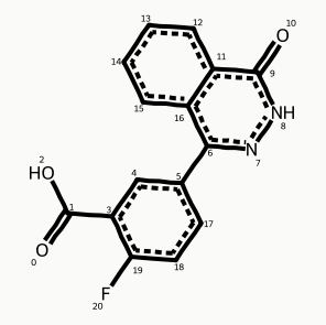 O=C(O)c1cc(-c2n[nH]c(=O)c3ccccc23)ccc1F